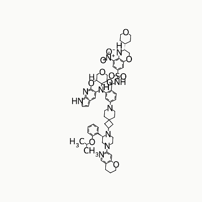 CC(C)Oc1ccccc1[C@@H]1CN(c2cc3c(cn2)CCCO3)CCN1C1CC2(CCN(c3ccc(C(=O)NS(=O)(=O)c4cc5c(c([N+](=O)[O-])c4)N[C@H](C4CCOCC4)CO5)c(N4c5cc6cc[nH]c6nc5O[C@H]5COCC[C@@H]54)c3)CC2)C1